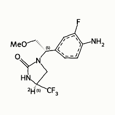 [2H][C@@]1(C(F)(F)F)CN([C@H](COC)c2ccc(N)c(F)c2)C(=O)N1